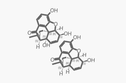 CN1CC[C@]23c4c5ccc(O)c4O[C@H]2[C@@H](O)C=C[C@@]3(O)[C@H]1C5=O.CN1CC[C@]23c4c5ccc(O)c4O[C@H]2[C@@H](O)C=C[C@H]3[C@H]1C5=O